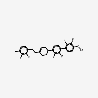 CCOc1ccc(-c2ccc(C3CC=C(CCc4ccc(C)c(F)c4F)CC3)c(F)c2F)c(F)c1F